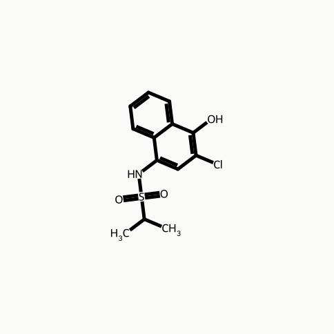 CC(C)S(=O)(=O)Nc1cc(Cl)c(O)c2ccccc12